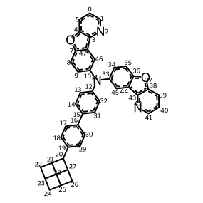 c1cnc2c(c1)oc1ccc(N(c3ccc(-c4ccc(C5C6CC7CC8CC5C786)cc4)cc3)c3ccc4oc5cccnc5c4c3)cc12